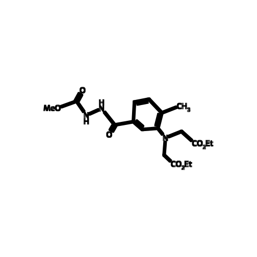 CCOC(=O)CN(CC(=O)OCC)c1cc(C(=O)NNC(=O)OC)ccc1C